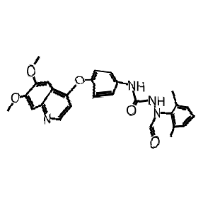 COc1cc2nccc(Oc3ccc(NC(=O)NN(C=O)c4c(C)cccc4C)cc3)c2cc1OC